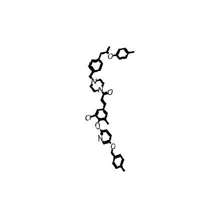 Cc1ccc(COc2ccc(Oc3c(C)cc(/C=C/C(=O)N4CCN(Cc5ccc(CC(C)Oc6ccc(C)cc6)cc5)CC4)cc3Cl)nc2)cc1